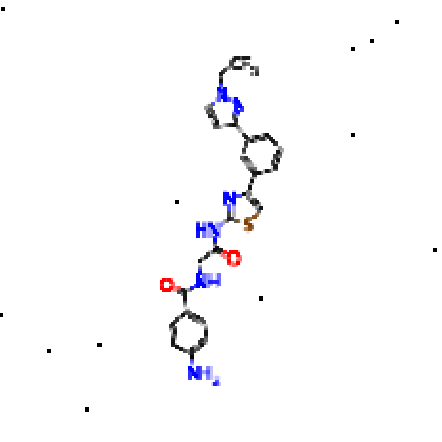 Nc1ccc(C(=O)NCC(=O)Nc2nc(-c3cccc(-c4ccn(CC(F)(F)F)n4)c3)cs2)cc1